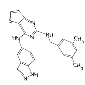 Cc1cc(C)cc(CNc2nc(Nc3ccc4[nH]ncc4c3)c3sccc3n2)c1